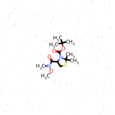 CON(C)C(=O)C1CSC(C)(C)N1C(=O)OC(C)(C)C